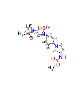 COC(=O)NC1CCN(c2ccc(N3CC(N(C)C(C)=O)OC3=O)cc2F)C1